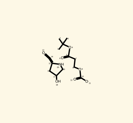 CC(C)(C)OC(=O)CCOC([O])=O.O=C=C1CC(O)CN1